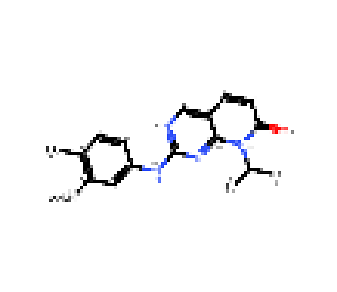 CCC(CC)n1c(=O)ccc2cnc(Nc3ccc(C)c(NC(C)=O)c3)nc21